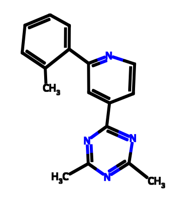 Cc1nc(C)nc(-c2ccnc(-c3ccccc3C)c2)n1